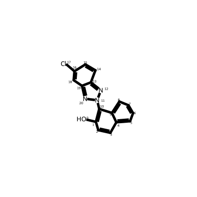 Oc1ccc2ccccc2c1-n1nc2ccc(Cl)cc2n1